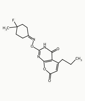 CCCc1cc(=O)oc2nc(ON=C3CCC(C)(F)CC3)[nH]c(=O)c12